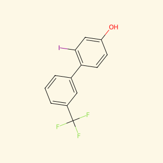 Oc1ccc(-c2cccc(C(F)(F)F)c2)c(I)c1